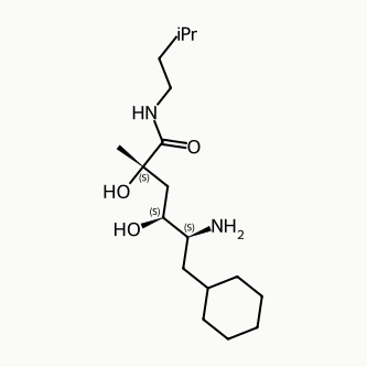 CC(C)CCNC(=O)[C@@](C)(O)C[C@H](O)[C@@H](N)CC1CCCCC1